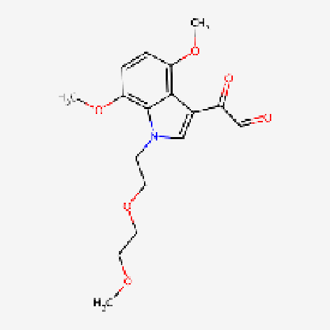 COCCOCCn1cc(C(=O)C=O)c2c(OC)ccc(OC)c21